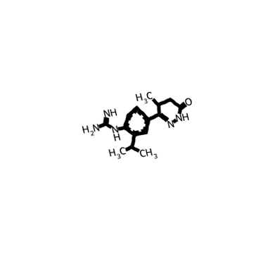 CC1CC(=O)NN=C1c1ccc(NC(=N)N)c(C(C)C)c1